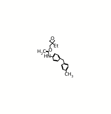 C=C(Nc1ccc(Cc2ccc(C)cc2)cc1)OCC1(CC)COC1